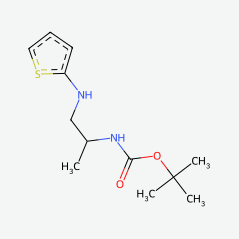 CC(CNc1cccs1)NC(=O)OC(C)(C)C